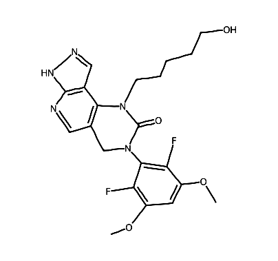 COc1cc(OC)c(F)c(N2Cc3cnc4[nH]ncc4c3N(CCCCCO)C2=O)c1F